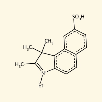 CC[N+]1=C(C)C(C)(C)c2c1ccc1ccc(S(=O)(=O)O)cc21